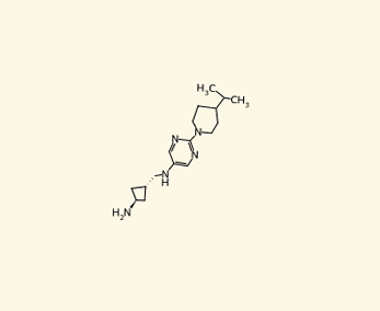 CC(C)C1CCN(c2ncc(NC[C@H]3C[C@H](N)C3)cn2)CC1